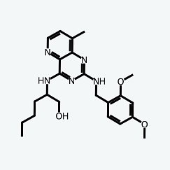 CCCCC(CO)Nc1nc(NCc2ccc(OC)cc2OC)nc2c(C)ccnc12